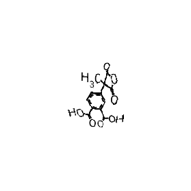 CC1(c2ccc(C(=O)O)c(C(=O)O)c2)C(=O)OC1=O